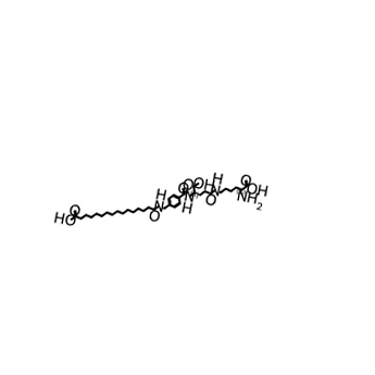 N[C@@H](CCCCNC(=O)CC[C@@H](NC(=O)c1ccc(CNC(=O)CCCCCCCCCCCCCCC(=O)O)cc1)C(=O)O)C(=O)O